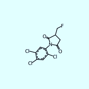 O=C1CC(CF)C(=O)N1c1cc(Cl)c(Cl)cc1Cl